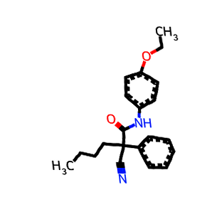 CCCCC(C#N)(C(=O)Nc1ccc(OCC)cc1)c1ccccc1